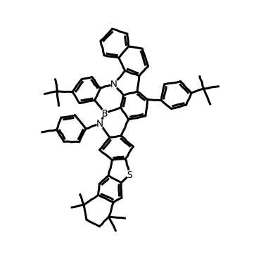 Cc1ccc(N2B3c4cc(C(C)(C)C)ccc4-n4c5c3c(cc(-c3ccc(C(C)(C)C)cc3)c5c3ccc5ccccc5c34)-c3cc4sc5cc6c(cc5c4cc32)C(C)(C)CCC6(C)C)cc1